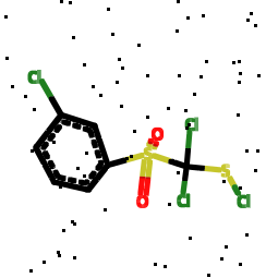 O=S(=O)(c1cccc(Cl)c1)C(Cl)(Cl)SCl